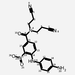 N#CCCN(CCC#N)C(=O)c1ccc(Nc2ccc(N)cc2)c([N+](=O)[O-])c1